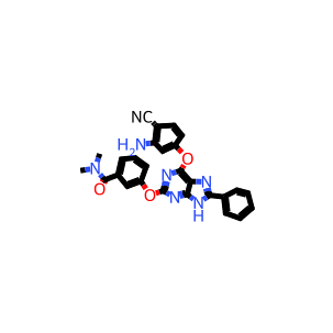 CN(C)C(=O)c1cccc(Oc2nc(Oc3ccc(C#N)c(N)c3)c3nc(-c4ccccc4)[nH]c3n2)c1